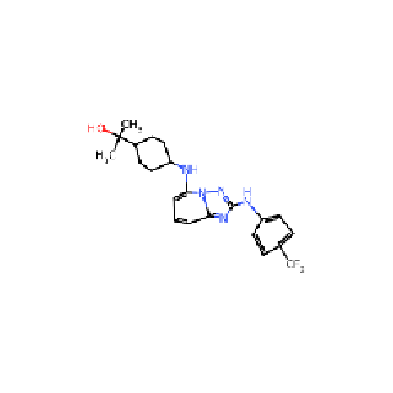 CC(C)(O)C1CCC(Nc2cccc3nc(Nc4ccc(C(F)(F)F)cc4)nn23)CC1